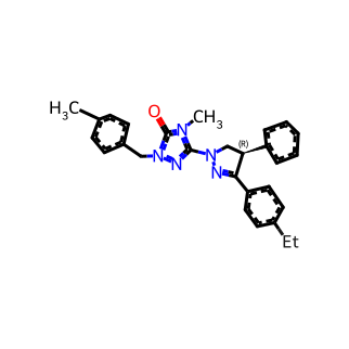 CCc1ccc(C2=NN(c3nn(Cc4ccc(C)cc4)c(=O)n3C)C[C@H]2c2ccccc2)cc1